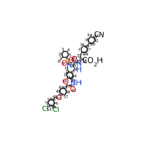 Cc1ccccc1S(=O)(=O)N1Cc2cc3c(cc2CC1C(=O)N[C@@H](Cc1ccc(-c2ccc(C#N)cc2)cc1)C(=O)O)NC(=O)C(c1ccc(OCc2ccc(Cl)c(Cl)c2)cc1)O3